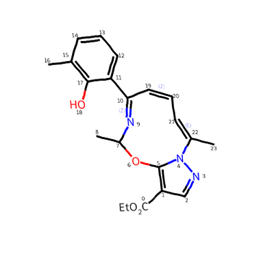 CCOC(=O)c1cnn2c1OC(C)/N=C(c1cccc(C)c1O)/C=C\C=C\2C